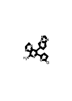 Nc1nc(-c2ccc(Cl)o2)c(-c2ccc3ncnn3c2)c2nccnc12